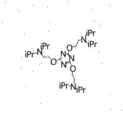 CC(C)N(CCOc1nc(OCCN(C(C)C)C(C)C)nc(OCCN(C(C)C)C(C)C)n1)C(C)C